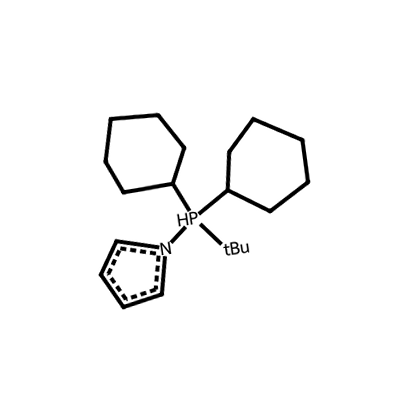 CC(C)(C)[PH](C1CCCCC1)(C1CCCCC1)n1cccc1